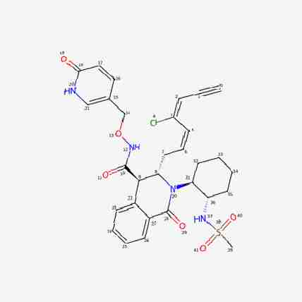 C#C/C=C(Cl)\C=C/C[C@H]1[C@H](C(=O)NOCc2ccc(=O)[nH]c2)c2ccccc2C(=O)N1[C@H]1CCCC[C@@H]1NS(C)(=O)=O